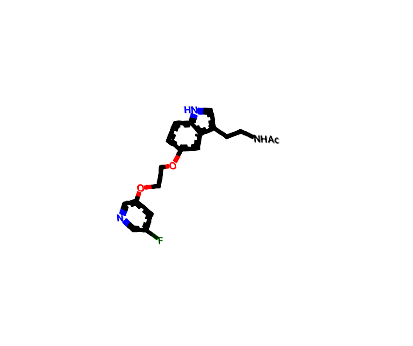 CC(=O)NCCc1c[nH]c2ccc(OCCOc3cncc(F)c3)cc12